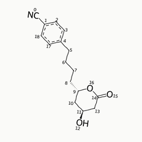 N#Cc1ccc(CCCC[C@H]2C[C@H](O)CC(=O)O2)cc1